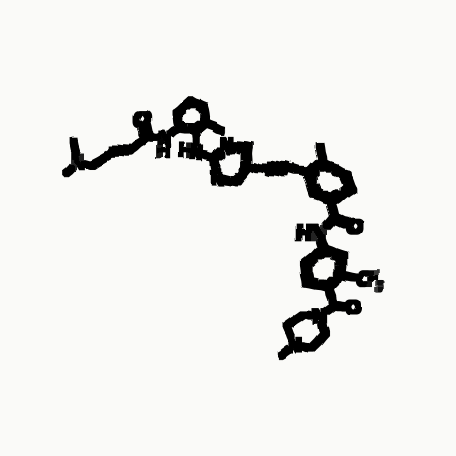 Cc1ccc(C(=O)Nc2ccc(C(=O)N3CCN(C)CC3)c(C(F)(F)F)c2)cc1C#Cc1cnc(Nc2c(C)cccc2NC(=O)C=CCN(C)C)nc1